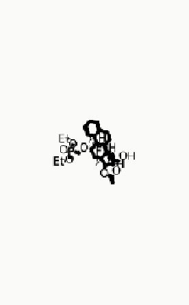 C=C1O[C@@H]2C[C@H]3[C@@H]4CCC5=CCC=C[C@]5(C)[C@@]4(F)[C@@H](OCP(=O)(OCC)OCC)C[C@]3(C)[C@]2(C(=O)CO)O1